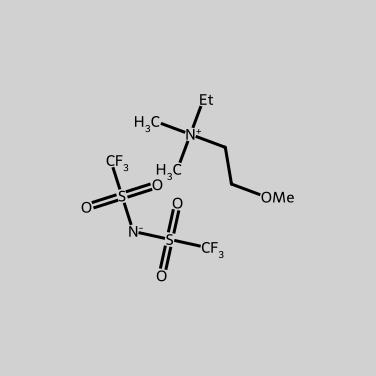 CC[N+](C)(C)CCOC.O=S(=O)([N-]S(=O)(=O)C(F)(F)F)C(F)(F)F